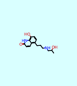 CC(O)CNCCCc1ccc(O)c2[nH]c(=O)ccc12